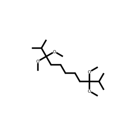 COC(CCCCCC(OC)(OC)C(C)C)(OC)C(C)C